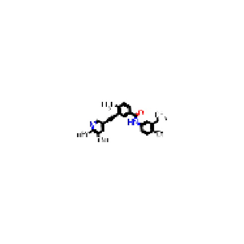 CCCc1ncc(C#Cc2cc(C(=O)Nc3ccc(CC)c(CC(F)(F)F)c3)ccc2C)cc1C(C)CC